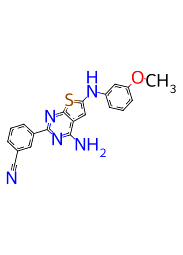 COc1cccc(Nc2cc3c(N)nc(-c4cccc(C#N)c4)nc3s2)c1